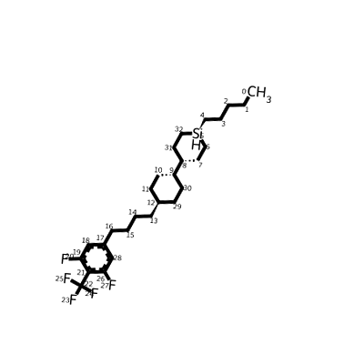 CCCCC[Si@H]1CC[C@H]([C@H]2CC[C@H](CCCCc3cc(F)c(C(F)(F)F)c(F)c3)CC2)CC1